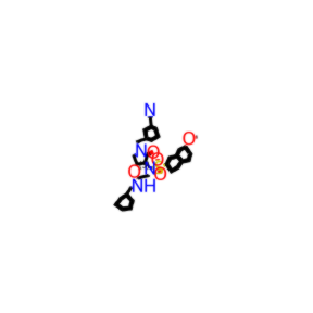 COc1ccc2ccc(S(=O)(=O)N(CC(=O)NCc3ccccc3)[C@H]3CCN(Cc4cccc(C#N)c4)C3=O)cc2c1